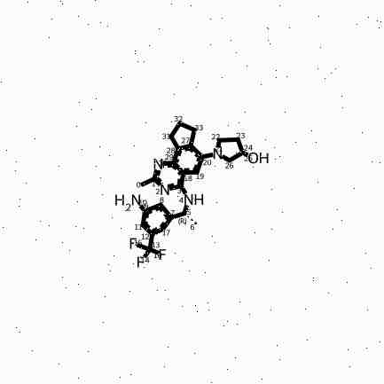 Cc1nc(N[C@H](C)c2cc(N)cc(C(F)(F)F)c2)c2cc(N3CCC(O)C3)c3c(c2n1)CCC3